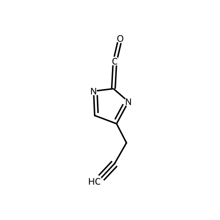 C#CCC1=NC(=C=O)N=C1